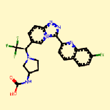 O=C(O)NC1CCN([C@H](c2ccc3nnc(-c4ccc5ccc(Br)cc5n4)n3c2)C(F)(F)F)C1